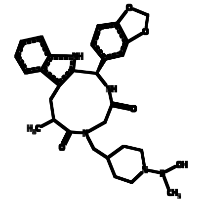 CB(O)N1CCC(CN2CC(=O)N[C@H](c3ccc4c(c3)OCO4)c3[nH]c4ccccc4c3CC(C)C2=O)CC1